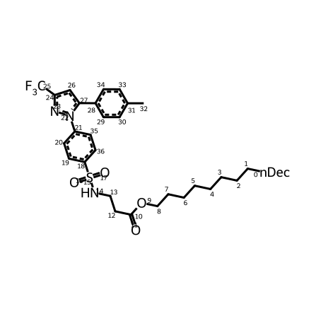 CCCCCCCCCCCCCCCCCCOC(=O)CCNS(=O)(=O)c1ccc(-n2nc(C(F)(F)F)cc2-c2ccc(C)cc2)cc1